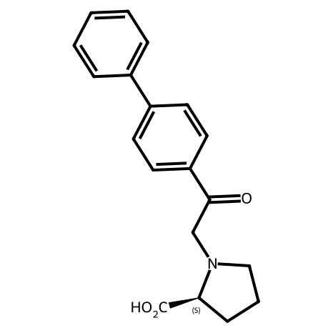 O=C(CN1CCC[C@H]1C(=O)O)c1ccc(-c2ccccc2)cc1